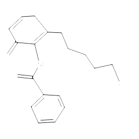 O=C(O)CCCCCC1=C(NC(=O)c2ccccc2)C(=O)C=CC1